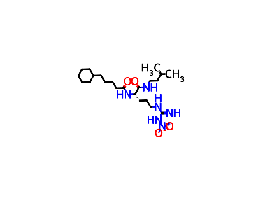 CC(C)CCNC(=O)[C@H](CCCNC(=N)N[N+](=O)[O-])NC(=O)CCCCC1CCCCC1